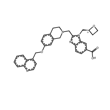 O=C(O)c1ccc2nc(CN3CCc4ccc(OCc5ccnc6ccccc56)cc4C3)n(C[C@@H]3CCO3)c2c1